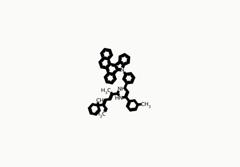 C=C/C(=C\C=C(/C)C(N)N/C(=C\Cc1cccc(-n2c3ccccc3c3c4c5ccccc5ccc4c4ccccc4c32)c1)C1=CC=CC(C)C1)C1(C)C=CC=CC1